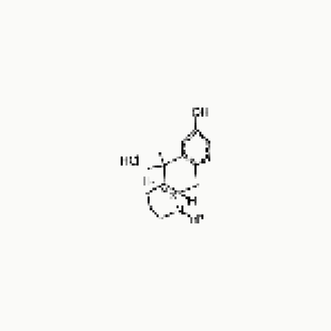 CCCN1CCC[C@@H]2[C@@H]1Cc1ccc(O)cc1C2(C)C.Cl